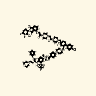 CC1(CN2CCN(C(=O)CN3CCN(C(=O)COc4cccc5c4C(=O)N(C4CCC(=O)NC4=O)C5=O)CC3)CC2)CCC(c2ccc(Cl)cc2)=C(CN2CCN(c3ccc(C(=O)NS(=O)(=O)c4ccc(N[C@H](CCN5CCOCC5)CSc5ccccc5)c(S(=O)(=O)C(F)(F)F)c4)cc3)CC2)C1